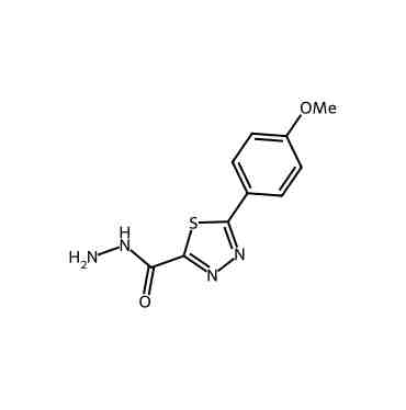 COc1ccc(-c2nnc(C(=O)NN)s2)cc1